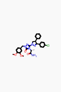 COc1ccc(Cn2nc(N3CC(c4ccccc4)C(c4ccc(Cl)cc4)=N3)n([C@H](C)C(N)=O)c2=O)cc1OC